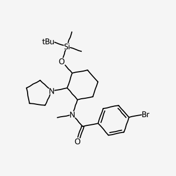 CN(C(=O)c1ccc(Br)cc1)C1CCCC(O[Si](C)(C)C(C)(C)C)C1N1CCCC1